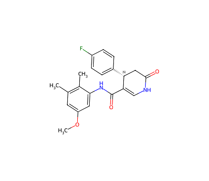 COc1cc(C)c(C)c(NC(=O)C2=CNC(=O)C[C@H]2c2ccc(F)cc2)c1